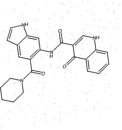 O=C(Nc1cc2[nH]ccc2cc1C(=O)N1CCCCC1)c1c[nH]c2ccccc2c1=O